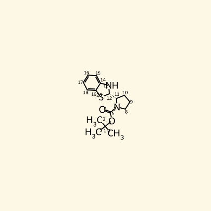 CC(C)(C)OC(=O)N1CCCC1[C@H]1Nc2ccccc2S1